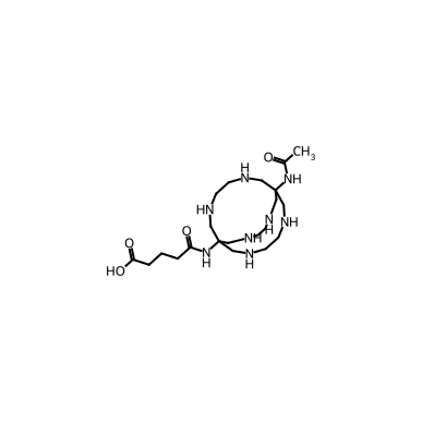 CC(=O)NC12CNCCNCC(NC(=O)CCCC(=O)O)(CNCCNC1)CNCCNC2